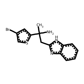 CC(N)(Cc1nc2ccccc2[nH]1)c1cc(Br)cs1